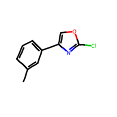 Cc1cccc(-c2coc(Cl)n2)c1